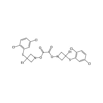 CCC1(Sc2cc(Cl)ccc2Cl)CN(OC(=O)C(=O)ON2CC(CC)(Sc3cc(Cl)ccc3Cl)C2)C1